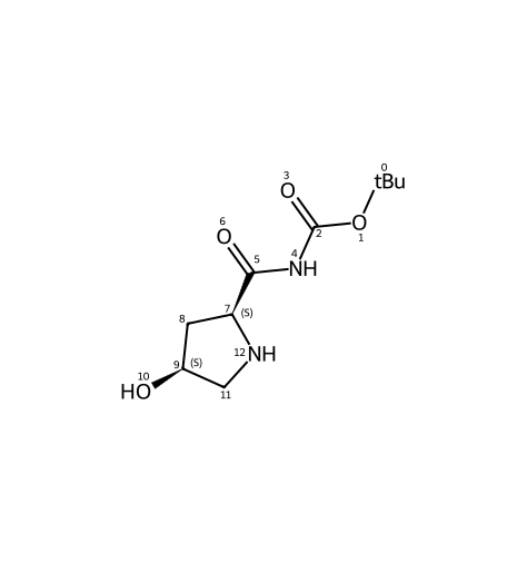 CC(C)(C)OC(=O)NC(=O)[C@@H]1C[C@H](O)CN1